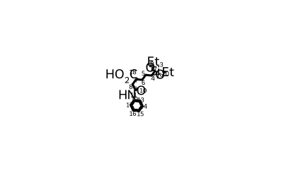 CCO[Si](C)(CCCC(CC(=O)Nc1ccccc1)C(=O)O)OCC